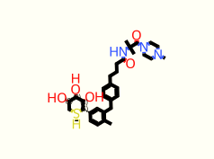 Cc1ccc([C@H]2[C@H](O)[C@H](O)[C@H](O)C[SH]2C)cc1Cc1ccc(CCCC(=O)NC(C)(C)C(=O)N2CCN(C)CC2)cc1